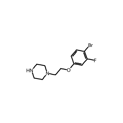 Fc1cc(OCCN2CCNCC2)ccc1Br